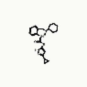 CN(Cc1ccccc1NC(=O)Nc1cc(C2CC2)n[nH]1)C1CCCCC1